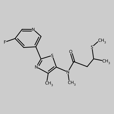 CSC(C)CC(=O)N(C)c1sc(-c2cncc(F)c2)nc1C